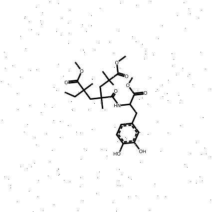 CCC(C)(CC(C)(CC(C)(C)C(=O)OC)C(=O)NC(Cc1ccc(O)c(O)c1)C(=O)OC)C(=O)OC